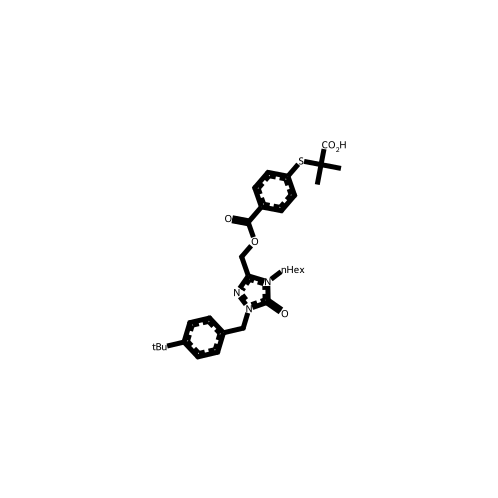 CCCCCCn1c(COC(=O)c2ccc(SC(C)(C)C(=O)O)cc2)nn(Cc2ccc(C(C)(C)C)cc2)c1=O